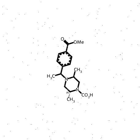 COC(=O)c1ccc(C(C)N2C[C@@H](C)N(C(=O)O)CC2C)cc1